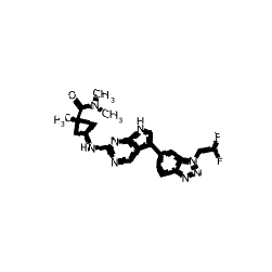 CN(C)C(=O)C1(C)CC(Nc2ncc3c(-c4ccc5nnn(CC(F)F)c5c4)c[nH]c3n2)C1